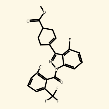 COC(=O)C1CC=C(c2nn(C(=O)c3c(Cl)cccc3C(F)(F)F)c3cccc(F)c23)CC1